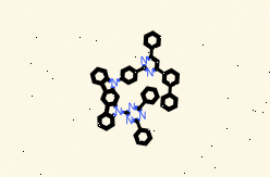 c1ccc(-c2cccc(-c3cc(-c4ccccc4)nc(-c4ccc(-n5c6ccccc6c6cc7c8ccccc8n(-c8nc(-c9ccccc9)nc(-c9ccccc9)n8)c7cc65)cc4)n3)c2)cc1